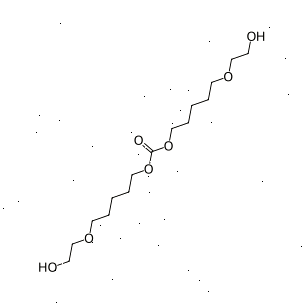 O=C(OCCCCCOCCO)OCCCCCOCCO